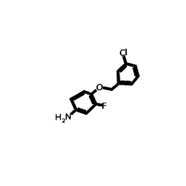 Nc1ccc(OCc2cccc(Cl)c2)c(F)c1